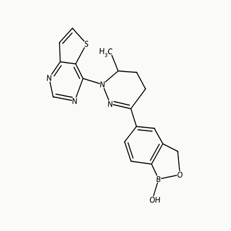 CC1CCC(c2ccc3c(c2)COB3O)=NN1c1ncnc2ccsc12